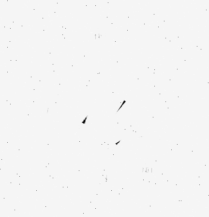 C[C@@H](c1cc([N+](=O)[O-])ccc1F)[C@@H](F)[C@H](OC(=N)N)C1(F)CC1